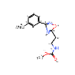 COc1cccc(-c2noc(CCNC(=O)OC(C)(C)C)n2)c1